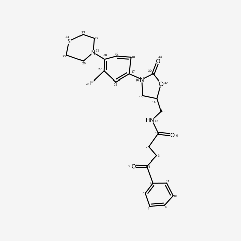 O=C(CCC(=O)c1ccccc1)NCC1CN(c2ccc(N3CCSCC3)c(F)c2)C(=O)O1